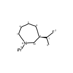 CC(F)[C@@H]1CCCCN(C(C)C)C1